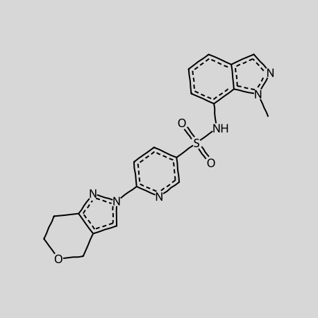 Cn1ncc2cccc(NS(=O)(=O)c3ccc(-n4cc5c(n4)CCOC5)nc3)c21